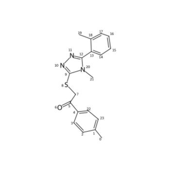 Cc1ccc(C(=O)CSc2nnc(-c3ccccc3C)n2C)cc1